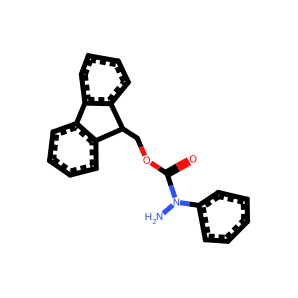 NN(C(=O)OCC1c2ccccc2-c2ccccc21)c1ccccc1